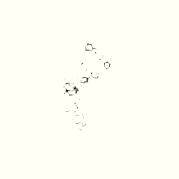 Cc1c(-c2ccc(N3CCc4cccc(C(=O)Nc5nc6ccccc6s5)c4C3)nc2C(=O)OC(C)(C)C)cnn1C[C@]12CC3(C)CC(C)(C1)C[C@](OCCNC1CCN(S(C)(=O)=O)CC1)(C3)C2